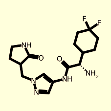 N[C@H](C(=O)Nc1cnn(CC2CCNC2=O)c1)C1CCC(F)(F)CC1